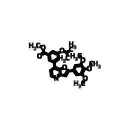 COC(=O)c1cc(OC(C)C)cc(-c2ccnc3cc(-c4cc(OC)c(OC)c(OC)c4)oc23)c1